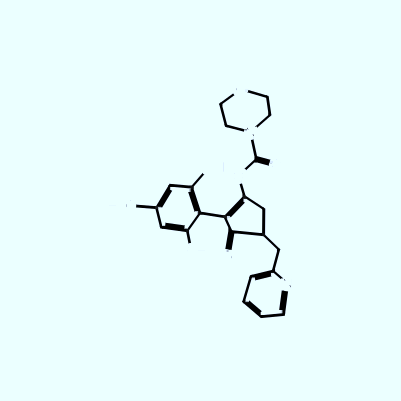 Cc1cc(C)c(C2=C(OC(=O)N3CCOCC3)CC(Cc3ccccn3)C2=O)c(C)c1